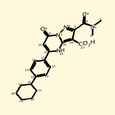 CN(C)C(=O)c1nn2c(=O)cc(-c3ccc(C4CCCCC4)cc3)[nH]c2c1C(=O)O